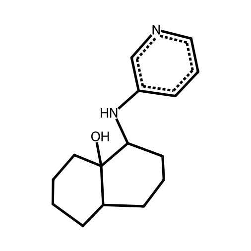 OC12CCCCC1CCCC2Nc1cccnc1